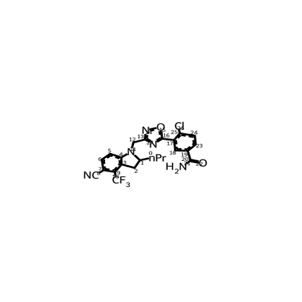 CCCC1Cc2c(ccc(C#N)c2C(F)(F)F)N1Cc1noc(-c2cc(C(N)=O)ccc2Cl)n1